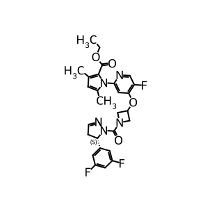 CCOC(=O)c1c(C)cc(C)n1-c1cc(OC2CN(C(=O)N3N=CC[C@H]3c3cc(F)cc(F)c3)C2)c(F)cn1